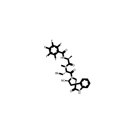 C[C@H](NC(=O)c1c(F)c(F)c(F)c(F)c1F)C(=O)N(C)[C@@H](CC(C)(C)C)C(=O)N1C[C@]2(C[C@H]1C#N)C(=O)Nc1ccccc12